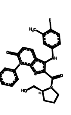 Cc1cc(Nc2c(C(=O)N3CCC[C@H]3CO)sc3c2ccc(=O)n3-c2ccccc2)ccc1F